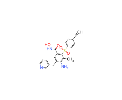 C#Cc1ccc(S(=O)(=O)c2c(C(=O)NO)cc(Cc3cccnc3)c(N)c2C)cc1